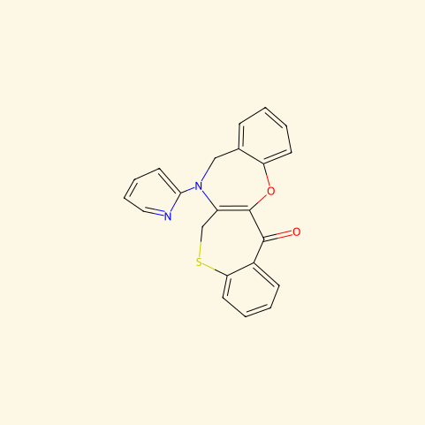 O=C1C2=C(CSc3ccccc31)N(c1ccccn1)Cc1ccccc1O2